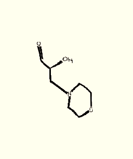 O=C[C@@H](O)CN1CCOCC1